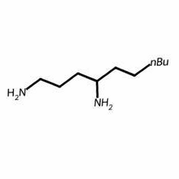 CCCCCCC(N)CCCN